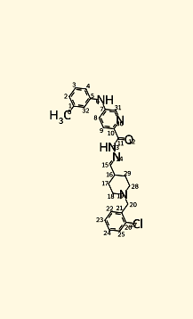 Cc1cccc(Nc2ccc(C(=O)NN=CC3CCN(Cc4ccccc4Cl)CC3)nc2)c1